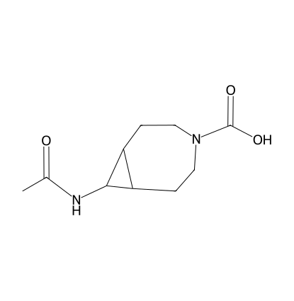 CC(=O)NC1C2CCN(C(=O)O)CCC21